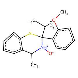 COc1ccccc1C1(C(C)C)Sc2ccccc2C(C)[NH+]1[O-]